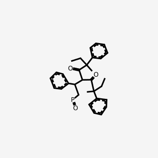 CCC(C)(C(=O)C(C(=O)C(C)(CC)c1ccccc1)C(CP=O)c1ccccc1)c1ccccc1